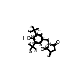 CC1CC(=O)N(Cc2cc(C(C)(C)C)c(O)c(C(C)(C)C)c2)C1=O